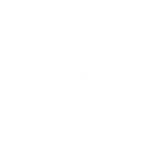 [CH]1C=CCO1.[C]1=CCCO1